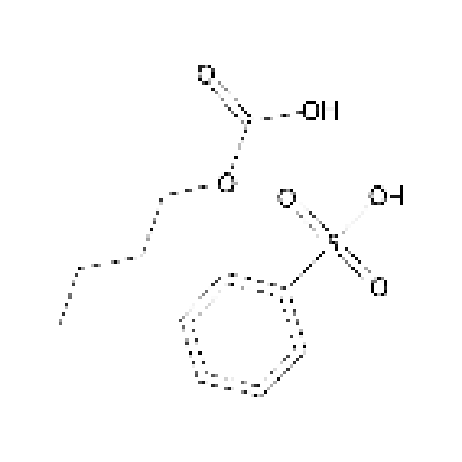 CCCCOC(=O)O.O=S(=O)(O)c1ccccc1